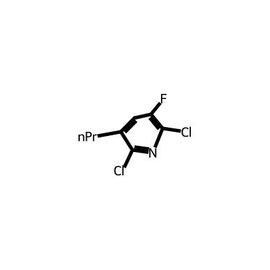 CCCc1cc(F)c(Cl)nc1Cl